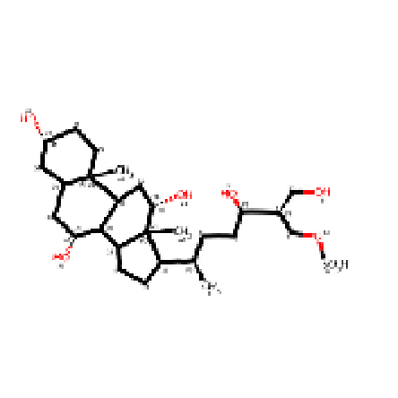 C[C@H](CC[C@@H](O)[C@@H](CO)COS(=O)(=O)O)C1CCC2C3C(C[C@H](O)[C@@]21C)[C@@]1(C)CC[C@@H](O)CC1C[C@H]3O